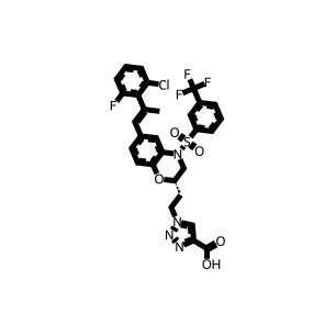 CC(=Cc1ccc2c(c1)N(S(=O)(=O)c1cccc(C(F)(F)F)c1)C[C@H](CCn1cc(C(=O)O)nn1)O2)c1c(F)cccc1Cl